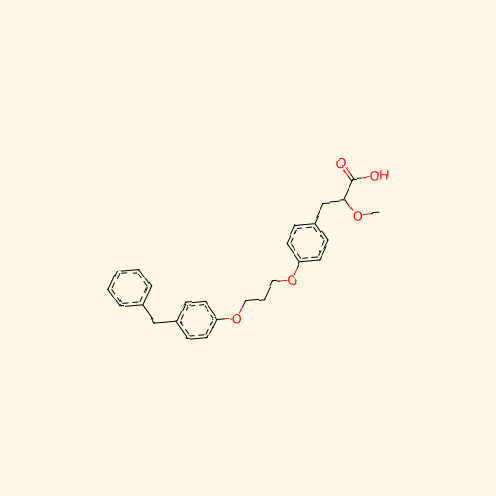 COC(Cc1ccc(OCCCOc2ccc(Cc3ccccc3)cc2)cc1)C(=O)O